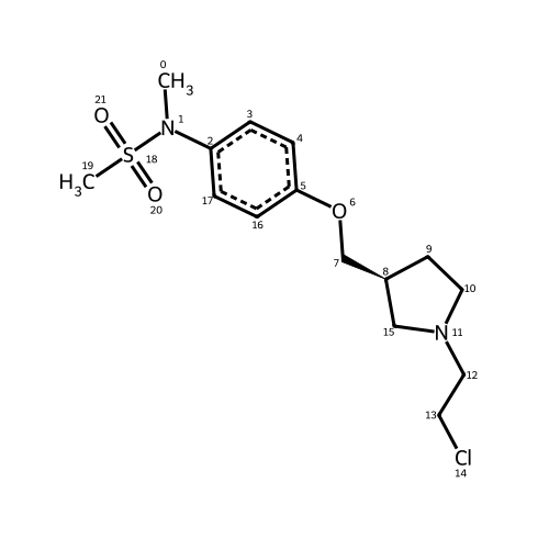 CN(c1ccc(OC[C@H]2CCN(CCCl)C2)cc1)S(C)(=O)=O